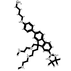 COCCOCCCC1(COCCOC)c2cc(B3OC(C)(C)C(C)(C)O3)ccc2-c2ccc(-c3ccc(OCCCCN)cc3)cc21